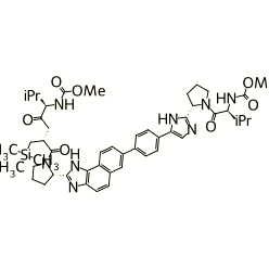 COC(=O)N[C@H](C(=O)N1CCC[C@H]1c1ncc(-c2ccc(-c3ccc4c(ccc5nc([C@@H]6CCCN6C(=O)[C@@H](CC(=O)[C@H](NC(=O)OC)C(C)C)C[Si](C)(C)C)[nH]c54)c3)cc2)[nH]1)C(C)C